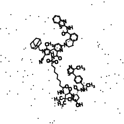 Cc1ncsc1-c1ccc([C@H](C)NC(=O)[C@@H]2C[C@@H](O)CN2C(=O)[C@@H](NC(=O)CCCCCCCS(=O)(=O)NC(=O)c2nc(N3CCc4cccc(C(=O)Nc5nc6ccccc6s5)c4C3)ccc2-c2cc(C#N)n(CC34CC5CC(CC(C5)C3)C4)c2C)C(C)(C)C)cc1